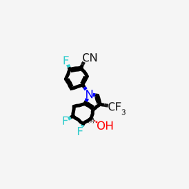 N#Cc1cc(-n2cc(C(F)(F)F)c3c2CC(F)C(F)[C@H]3O)ccc1F